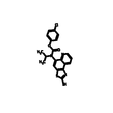 CC(C)N(C(=O)Oc1ccc(Cl)cc1)c1cc2sc(S)nc2c2cccnc12